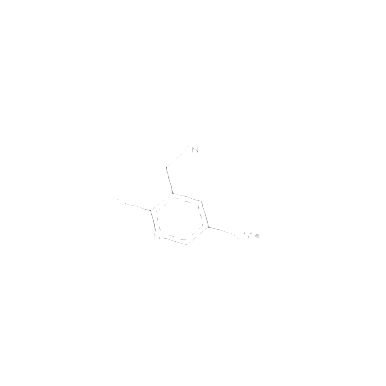 COc1cnc(Cl)c(CC#N)c1